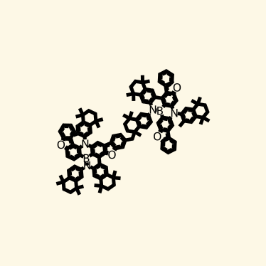 Cc1cc2c(cc1N1c3cc4c(cc3B3c5c1cc1oc6ccccc6c1c5-c1cc5c(cc1N3c1ccc3c(c1)C(C)(C)CCC3(C)Cc1ccc3c(c1)oc1c6c7c(cc13)N(c1cc3c(cc1C)C(C)(C)CCC3(C)C)c1c(ccc3oc8ccccc8c13)B7N(c1ccc3c(c1)C(C)(C)CCC3(C)C)c1cc3c(cc1-6)C(C)(C)CCC3(C)C)C(C)(C)CCC5(C)C)oc1ccccc14)C(C)(C)CCC2(C)C